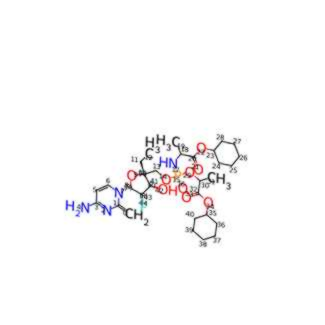 C=C1N=C(N)C=CN1[C@@H]1O[C@](CC)(COP(=O)(NC(C)C(=O)OC2CCCCC2)OC(C)C(=O)OC2CCCCC2)[C@@H](O)[C@H]1F